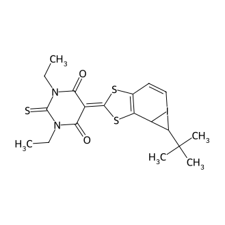 CCN1C(=O)C(=C2SC3=C(S2)C2C(C(C)(C)C)I2C=C3)C(=O)N(CC)C1=S